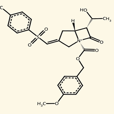 COc1ccc(COC(=O)[N@+]23C/C(=C/S(=O)(=O)c4ccc(C)cc4)C[C@@H]2[C@H](C(C)O)C3=O)cc1